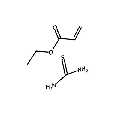 C=CC(=O)OCC.NC(N)=S